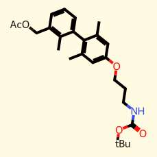 CC(=O)OCc1cccc(-c2c(C)cc(OCCCNC(=O)OC(C)(C)C)cc2C)c1C